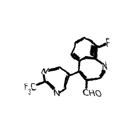 O=Cc1cnc2c(F)cccc2c1-c1cnc(C(F)(F)F)nc1